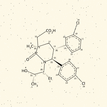 CC[C@H]([C@H](C)O)N1C(=O)[C@@](C)(CC(=O)O)C[C@H](c2cccc(Cl)c2)[C@H]1c1ccc(Cl)cc1